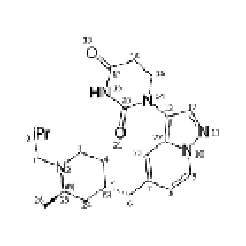 CC(C)CN1CC[C@H](Cc2ccn3ncc(N4CCC(=O)NC4=O)c3c2)C[C@H]1C